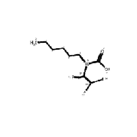 CCCCCCN(C(=O)O)C(F)C(F)F